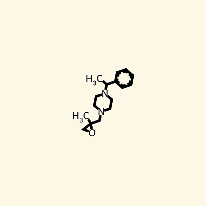 CC(c1ccccc1)N1CCN(CC2(C)CO2)CC1